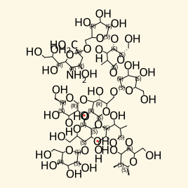 CC1C(O)[C@H](O[C@@H]2OC(CO[C@H]3OC(CO)[C@@H](O)C(O)[C@H]3O[C@@H]3O[C@@H](CO)[C@@H](O[C@@H]4OC(CO[C@]5(C(=O)O)C[C@@H](O)[C@@H](N)C([C@H](O)C(O)CO)O5)[C@H](O)C(O)[C@@H]4O)C(O)C3C)[C@@H](O)C(O[C@H]3O[C@H](CO)[C@@H](O)C(O)C3O[C@@H]3OC(CO)[C@@H](O[C@@H]4OC(CO)[C@H](O)C(O)[C@@H]4O)C(O)[C@@H]3C)[C@H]2O)C(CO)O[C@H]1O[C@@H]1C(CO)O[C@@H](C)[C@@H](C)C1O